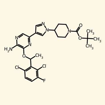 CC(Oc1nc(-c2cnn(C3CCN(C(=O)OC(C)(C)C)CC3)c2)cnc1N)c1c(Cl)ccc(F)c1Cl